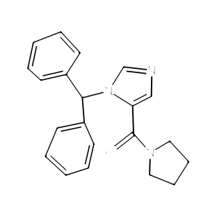 O=C(c1cncn1C(c1ccccc1)c1ccccc1)N1CCCC1